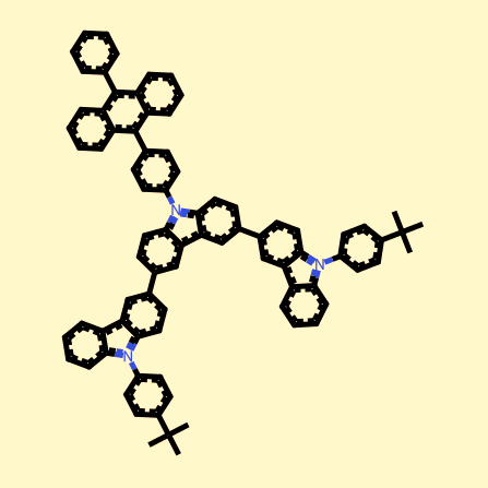 CC(C)(C)c1ccc(-n2c3ccccc3c3cc(-c4ccc5c(c4)c4cc(-c6ccc7c(c6)c6ccccc6n7-c6ccc(C(C)(C)C)cc6)ccc4n5-c4ccc(-c5c6ccccc6c(-c6ccccc6)c6ccccc56)cc4)ccc32)cc1